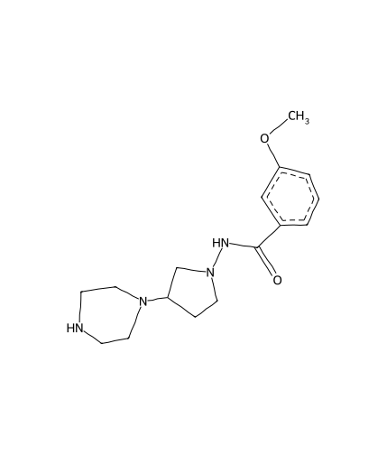 COc1cccc(C(=O)NN2CCC(N3CCNCC3)C2)c1